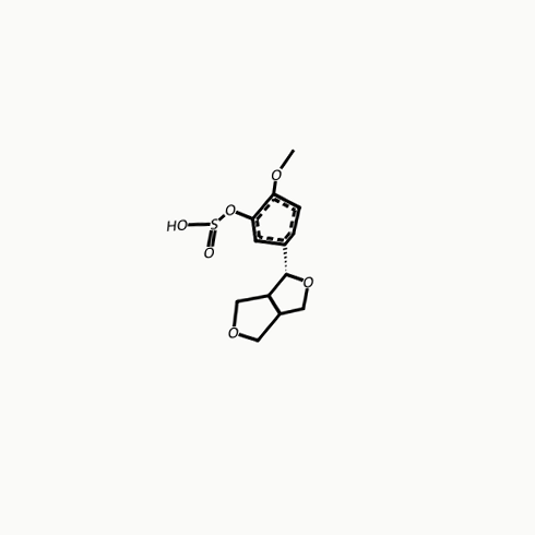 COc1ccc([C@@H]2OCC3COCC32)cc1OS(=O)O